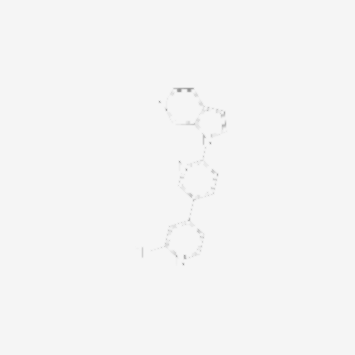 [18F]c1cc(-c2ccc(-n3ccc4ccncc43)nc2)ccn1